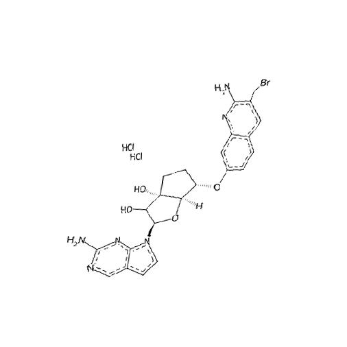 Cl.Cl.Nc1ncc2ccn([C@@H]3O[C@@H]4[C@@H](Oc5ccc6cc(Br)c(N)nc6c5)CC[C@]4(O)C3O)c2n1